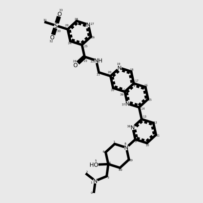 CN(C)CC1(O)CCN(c2cccc(-c3ccc4cnc(CNC(=O)c5cncc(S(C)(=O)=O)c5)cc4n3)n2)CC1